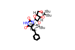 CC(C)(C)[Si](C)(C)O[C@@H]1[C@@H]2O[Si](C(C)(C)C)(C(C)(C)C)OC[C@H]2O[C@H]1n1cc(C=Cc2ccccc2)c(=O)[nH]c1=O